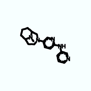 CN1C2CCCC1CN(c1ccc(Nc3cccnc3)nc1)CC2